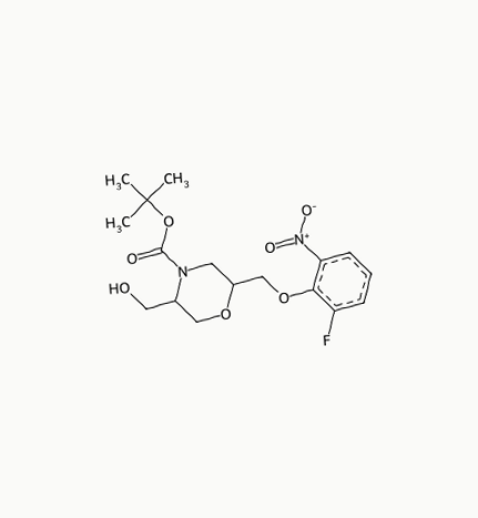 CC(C)(C)OC(=O)N1CC(COc2c(F)cccc2[N+](=O)[O-])OCC1CO